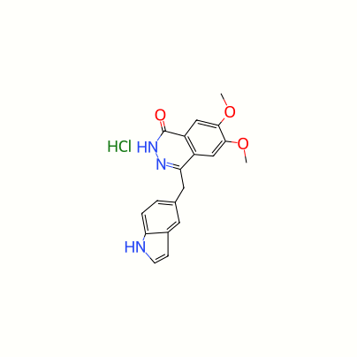 COc1cc2c(Cc3ccc4[nH]ccc4c3)n[nH]c(=O)c2cc1OC.Cl